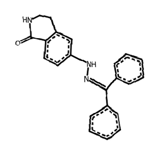 O=C1NCCc2cc(NN=C(c3ccccc3)c3ccccc3)ccc21